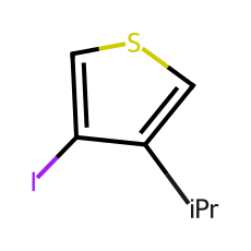 CC(C)c1cscc1I